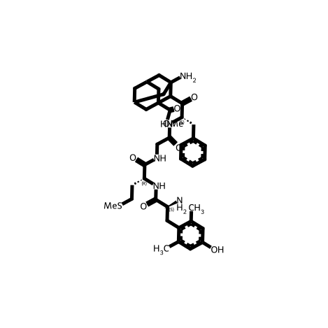 COC(=O)C12CC3CC(CC(N)(C3)C1C(=O)[C@H](Cc1ccccc1)NC(=O)CNC(=O)[C@@H](CCSC)NC(=O)[C@@H](N)Cc1c(C)cc(O)cc1C)C2